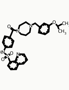 CC(C)Oc1cccc(CN2CCCN(C(=O)c3ccc(NS(=O)(=O)c4cccc5cccnc45)cc3)CC2)c1